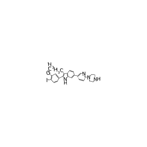 COc1cc(-c2[nH]c3cc(-c4ccc(N5CCNCC5)nc4)ccc3c2C)ccc1I